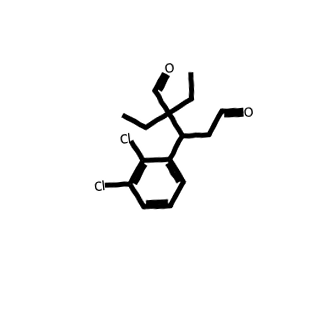 CCC(C=O)(CC)C(CC=O)c1cccc(Cl)c1Cl